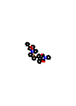 c1ccc(-c2ccc(N(c3ccccc3-c3ccccc3)c3cccc4c3sc3c(-c5cccc6c5-c5ccccc5C65c6ccccc6N(c6ccccc6)c6ccccc65)cccc34)cc2)cc1